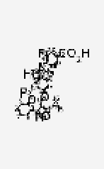 CC(F)Oc1ccccc1-c1noc(C2CC2)c1CO[C@H]1CC[C@](O)(c2nc3c(F)cc(C(=O)O)cc3s2)CC1